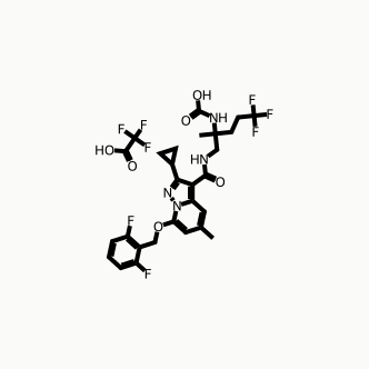 Cc1cc(OCc2c(F)cccc2F)n2nc(C3CC3)c(C(=O)NCC(C)(CCC(F)(F)F)NC(=O)O)c2c1.O=C(O)C(F)(F)F